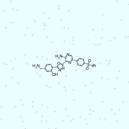 CC(C)S(=O)(=O)c1ccc(-c2cnc(N)c(-c3nnc(-c4ccc(CN)cc4O)o3)n2)cc1